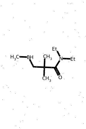 CBCC(C)(C)C(=O)N(CC)CC